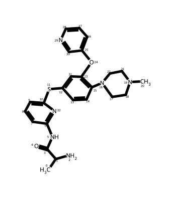 CC(N)C(=O)Nc1cccc(Sc2ccc(N3CCN(C)CC3)c(Oc3cccnc3)c2)n1